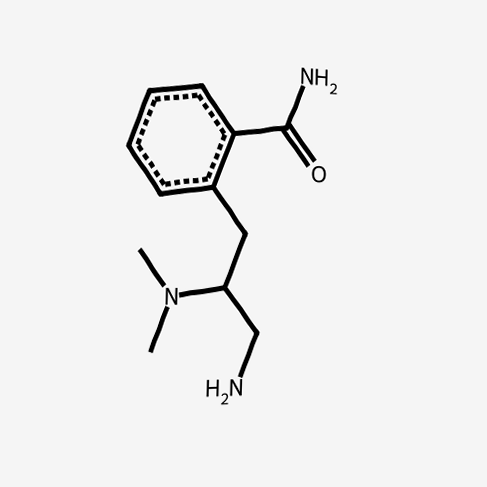 CN(C)C(CN)Cc1ccccc1C(N)=O